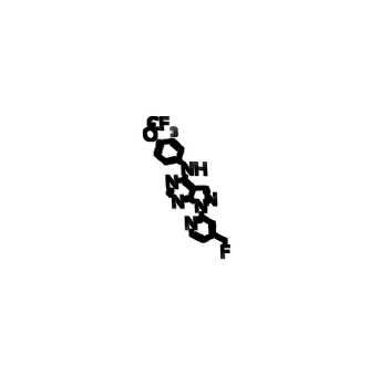 FCc1ccnc(-n2ncc3c(Nc4ccc(OC(F)(F)F)cc4)ncnc32)c1